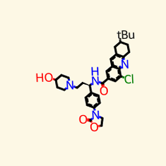 CC(C)(C)C1CCc2nc3c(Cl)cc(C(=O)N[C@H](CCN4CCC(O)CC4)c4ccc(N5CCOC5=O)cc4)cc3cc2C1